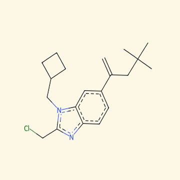 C=C(CC(C)(C)C)c1ccc2nc(CCl)n(CC3CCC3)c2c1